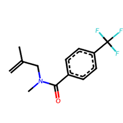 C=C(C)CN(C)C(=O)c1ccc(C(F)(F)F)cc1